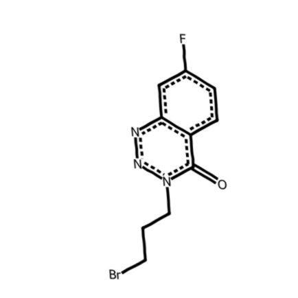 O=c1c2ccc(F)cc2nnn1CCCBr